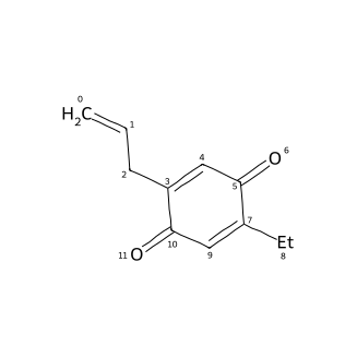 C=CCC1=CC(=O)C(CC)=CC1=O